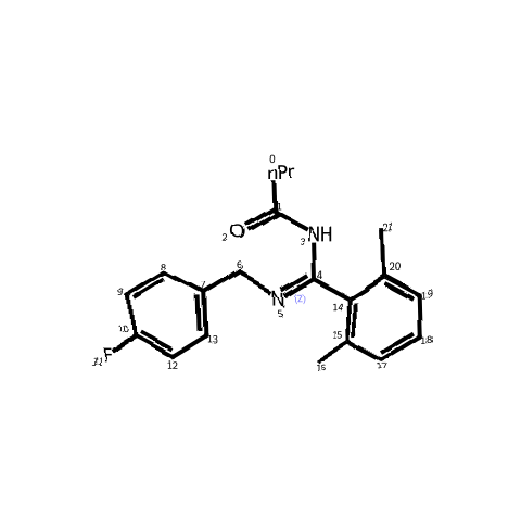 CCCC(=O)N/C(=N\Cc1ccc(F)cc1)c1c(C)cccc1C